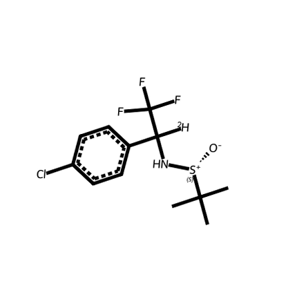 [2H]C(N[S@+]([O-])C(C)(C)C)(c1ccc(Cl)cc1)C(F)(F)F